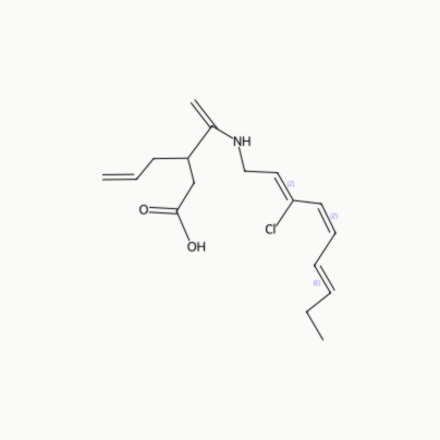 C=CCC(CC(=O)O)C(=C)NC/C=C(Cl)/C=C\C=C\CC